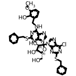 COc1cccc(CNc2nc(SCc3ccccc3)nc3c2ncn3C2(n3cnc4c(Cl)nc(SCc5ccccc5)nc43)O[C@H](CO)[C@@H](O)[C@H]2O)c1O